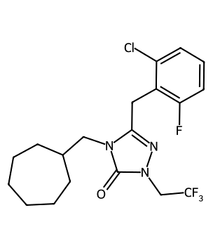 O=c1n(CC(F)(F)F)nc(Cc2c(F)cccc2Cl)n1CC1CCCCCC1